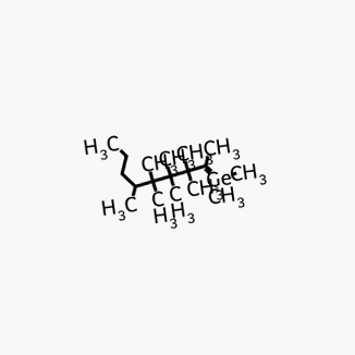 CCCC(C)C(C)(C)C(C)(C)C(C)(C)[C](C)=[Ge]([CH3])[CH3]